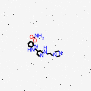 CN1CCN(CCCNc2cc(-c3nc4c(OC(N)=O)cccc4[nH]3)ccn2)CC1